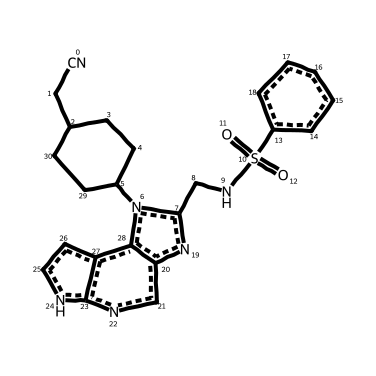 N#CCC1CCC(n2c(CNS(=O)(=O)c3ccccc3)nc3cnc4[nH]ccc4c32)CC1